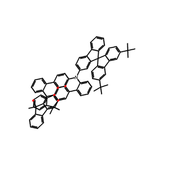 CC(C)(C)c1ccc2c(c1)-c1cc(C(C)(C)C)ccc1C21c2ccccc2-c2ccc(N(c3ccc(-c4ccccc4-c4cccc5c4C(C)(C)c4ccccc4-5)cc3)c3ccccc3-c3ccc4c(c3)C(C)(C)c3ccccc3-4)cc21